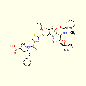 CCOC(CC(C(C)C)N(C)C(=O)C(NC(=O)[C@H]1CCCCN1C)C(C)OC(C)(C)C)c1nc(C(=O)NC(Cc2ccccc2)CC(C)C(=O)O)cs1